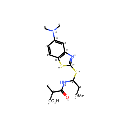 COCC(NC(=O)C(C)C(=O)O)Sc1nc2cc(N(C)C)ccc2s1